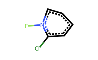 F[n+]1ccccc1Cl